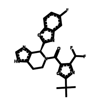 CC(C)(C)c1nc(C(F)F)c(C(=O)N2CCc3[nH]cnc3[C@H]2c2nc3cc(F)ccc3o2)o1